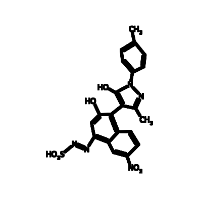 Cc1ccc(-n2nc(C)c(-c3c(O)cc(N=NS(=O)(=O)O)c4cc([N+](=O)[O-])ccc34)c2O)cc1